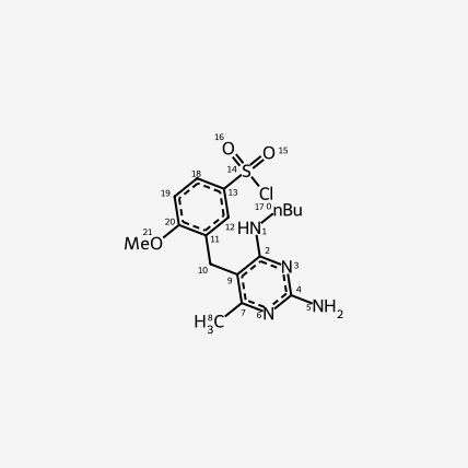 CCCCNc1nc(N)nc(C)c1Cc1cc(S(=O)(=O)Cl)ccc1OC